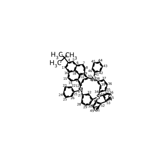 CC(C)(C)c1cc2ccc3c4cc(c5ccc(c1)c2c35)N(c1ccccc1)c1cccc(c1)S1(c2cccc(c2)N4c2ccccc2)c2ccccc2-c2ccccc21